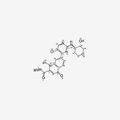 CNC(=O)c1cc(=O)c2ccc(-c3nc(N[C@@H]4CCOC[C@H]4O)ncc3Cl)cc2n1C(C)C